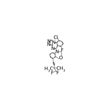 CC(C)(C#Cc1cccc2c1COCCN2c1nc2nncn2c2c(Cl)ccc(F)c12)C(F)F